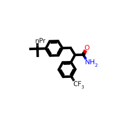 CCCC(C)(C)c1ccc(CC(C(N)=O)c2cccc(C(F)(F)F)c2)cc1